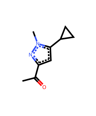 CC(=O)c1cc(C2CC2)n(C)n1